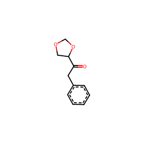 O=C(Cc1ccccc1)C1COCO1